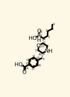 CCCCC([C@@H]1CN[C@H](Cc2ccc(C(=O)O)cc2)CO1)[PH](=O)O